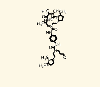 CNC(C)C(=O)NC(C)CN(CC[C@H]1CCC(C)N1C=O)C(=O)Nc1ccc(NC(=O)N(CCC=O)CC[C@H]2CC[C@@H](C)N2C)cc1